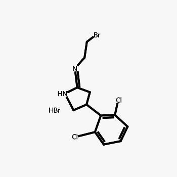 Br.Clc1cccc(Cl)c1C1CNC(=NCCBr)C1